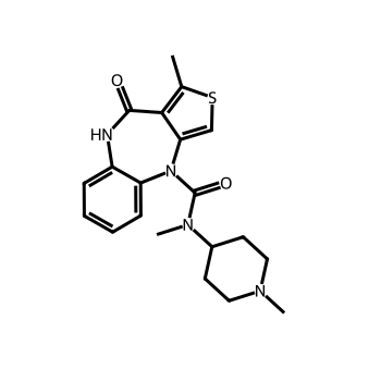 Cc1scc2c1C(=O)Nc1ccccc1N2C(=O)N(C)C1CCN(C)CC1